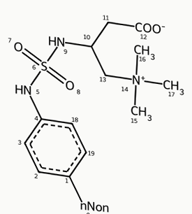 CCCCCCCCCc1ccc(NS(=O)(=O)NC(CC(=O)[O-])C[N+](C)(C)C)cc1